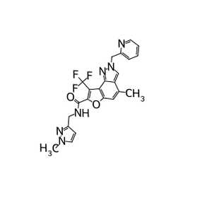 Cc1cc2oc(C(=O)NCc3ccn(C)n3)c(C(F)(F)F)c2c2nn(Cc3ccccn3)cc12